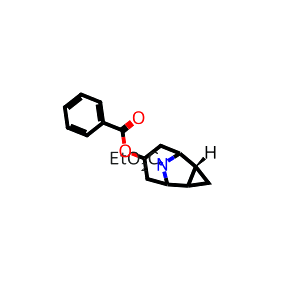 CCOC(=O)N1C2CC(OC(=O)c3ccccc3)CC1[C@@H]1CC21